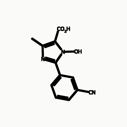 Cc1nc(-c2cccc(C#N)c2)n(O)c1C(=O)O